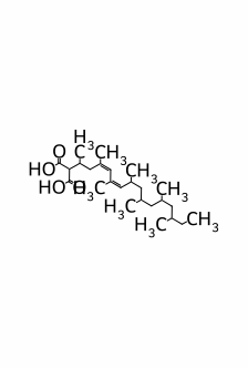 CCC(C)CC(C)CC(C)CC(C)C=C(C)C=C(C)CC(C)C(C(=O)O)C(=O)O